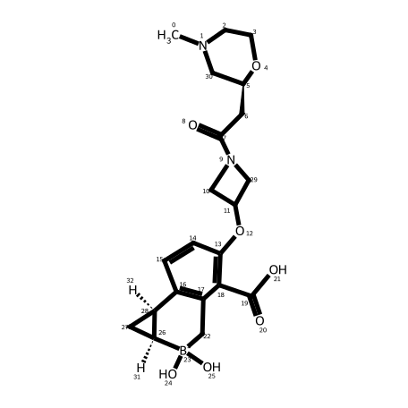 CN1CCO[C@@H](CC(=O)N2CC(Oc3ccc4c(c3C(=O)O)C[B-](O)(O)[C@H]3C[C@@H]43)C2)C1